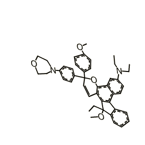 CCN(CC)c1ccc2c3c(c4c(c2c1)OC(c1ccc(OC)cc1)(c1ccc(N2CCOCC2)cc1)C=C4)C(CC)(OC)c1ccccc1-3